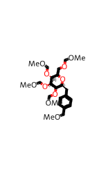 COCOCC1O[C@@H](Cc2ccc(COC)cc2)C(OCOC)[C@@H](OCOC)[C@@H]1OCOC